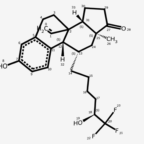 C=CC12CCc3cc(O)ccc3[C@H]1[C@@H](CCCC[C@H](O)C(F)(F)F)C[C@]1(C)C(=O)CC[C@@H]21